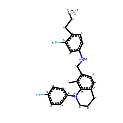 Cc1c(CNc2ccc(CCC(=O)O)c(F)c2)ccc2c1N(c1ccc(F)cc1)CCC2